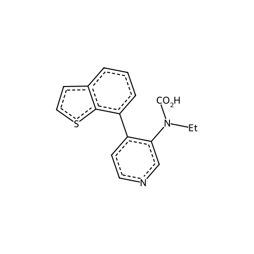 CCN(C(=O)O)c1cnccc1-c1cccc2ccsc12